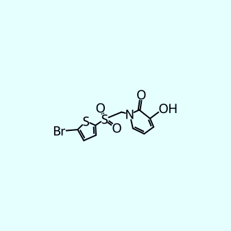 O=c1c(O)cccn1CS(=O)(=O)c1ccc(Br)s1